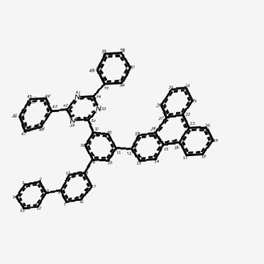 c1ccc(-c2cccc(-c3cc(-c4ccc5c6ccccc6c6ccccc6c5c4)cc(-c4nc(-c5ccccc5)nc(-c5ccccc5)n4)c3)c2)cc1